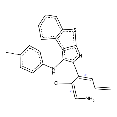 C=C/C=C(\C(Cl)=C/N)c1nc2sc3ccccc3n2c1Nc1ccc(F)cc1